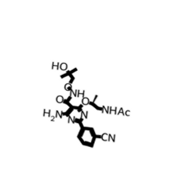 CC(=O)NC[C@H](C)Oc1nc(-c2cccc(C#N)c2)nc(N)c1C(=O)NOCC(C)(C)O